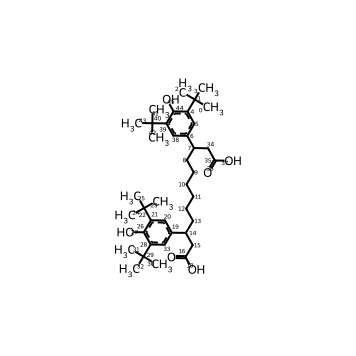 CC(C)(C)c1cc(C(CCCCCCC(CC(=O)O)c2cc(C(C)(C)C)c(O)c(C(C)(C)C)c2)CC(=O)O)cc(C(C)(C)C)c1O